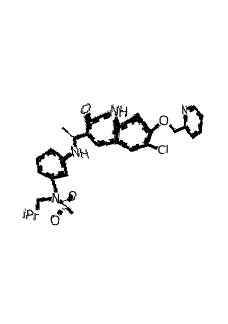 CC(C)CN(c1cccc(N[C@@H](C)c2cc3cc(Cl)c(OCc4ccccn4)cc3[nH]c2=O)c1)S(C)(=O)=O